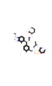 CCC1CN(Cc2cc([C@H](CC(=O)NC3CCCNC3=O)c3ccc4c(nnn4CC)c3C)ccc2C)S(O)(O)c2cccnc2O1